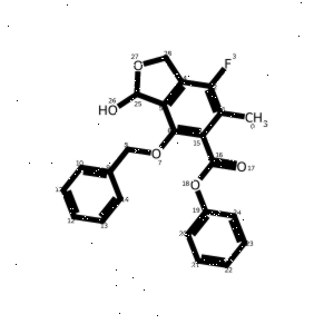 Cc1c(F)c2c(c(OCc3ccccc3)c1C(=O)Oc1ccccc1)C(O)OC2